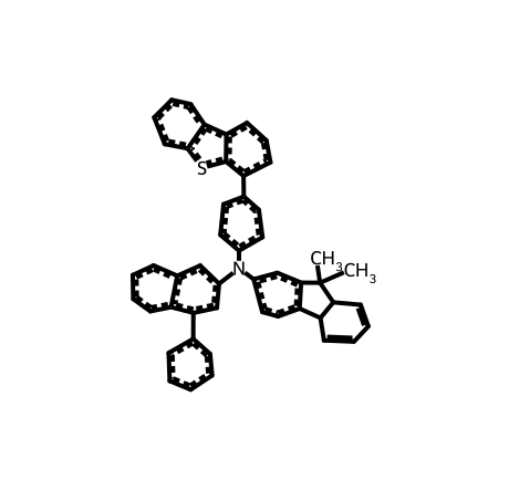 CC1(C)c2cc(N(c3ccc(-c4cccc5c4sc4ccccc45)cc3)c3cc(-c4ccccc4)c4ccccc4c3)ccc2C2C=CC=CC21